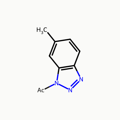 CC(=O)n1nnc2ccc(C)cc21